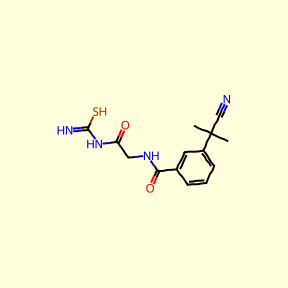 CC(C)(C#N)c1cccc(C(=O)NCC(=O)NC(=N)S)c1